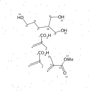 C=C(C)C(=O)O.C=C(C)C(=O)O.C=C(C)C(=O)OC.OCCCC(CO)CO